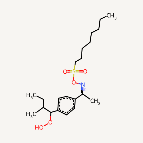 CCCCCCCCS(=O)(=O)O/N=C(/C)c1ccc(C(OO)C(C)CC)cc1